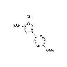 CCCCc1nn(-c2ccc(OC)cc2)cc1O